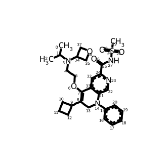 CC(C)N(CCOC1=C(C2CCC2)CN(c2ccccc2)c2cnc(C(=O)NS(C)(=O)=O)cc21)C1COC1